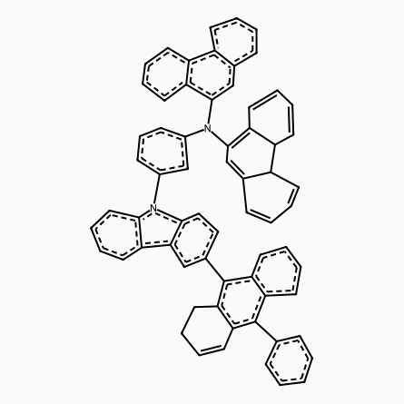 C1=CC2=CC(N(c3cccc(-n4c5ccccc5c5cc(-c6c7c(c(-c8ccccc8)c8ccccc68)C=CCC7)ccc54)c3)c3cc4ccccc4c4ccccc34)=C3C=CC=CC3C2C=C1